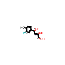 N#Cc1ccc(C(O)/C=C(\O)CO)cc1F